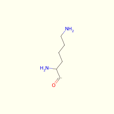 NCCCCC(N)[C]=O